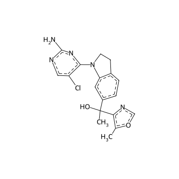 Cc1ocnc1C(C)(O)c1ccc2c(c1)N(c1nc(N)ncc1Cl)CC2